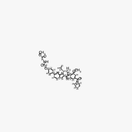 COC(=O)CNC(=O)COc1ccc(-c2ccc3cc(-c4nc5cc(C(=O)N6CC7CCC6C7)cc(OC)c5n4C)n(CC4CC4)c3n2)cc1